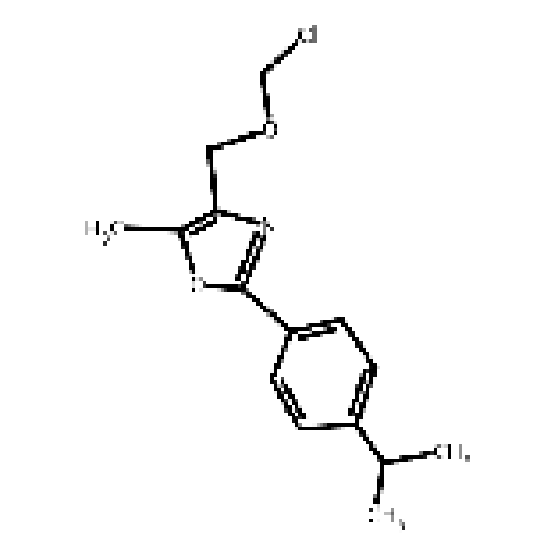 Cc1oc(-c2ccc(C(C)C)cc2)nc1COCCl